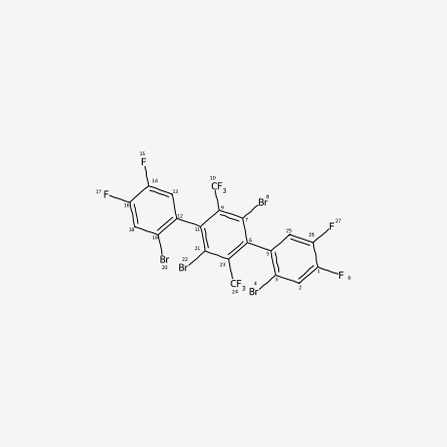 Fc1cc(Br)c(-c2c(Br)c(C(F)(F)F)c(-c3cc(F)c(F)cc3Br)c(Br)c2C(F)(F)F)cc1F